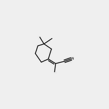 CC(C#N)=C1CCCC(C)(C)C1